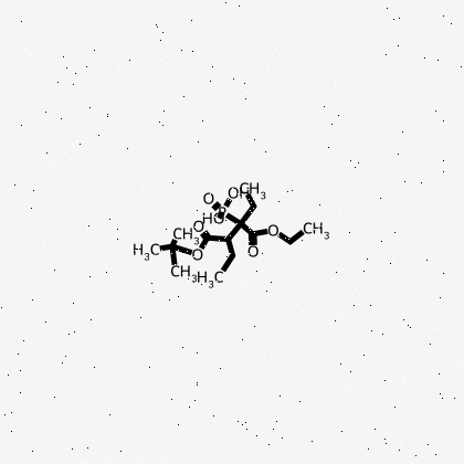 CCOC(=O)C(CC)(C(CC)C(=O)OC(C)(C)C)P(=O)(O)O